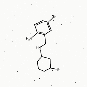 Nc1ccc(Br)cc1CNC1CCCC(S)C1